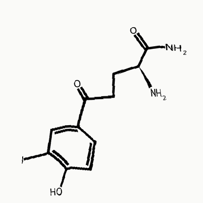 NC(=O)[C@@H](N)CCC(=O)c1ccc(O)c(I)c1